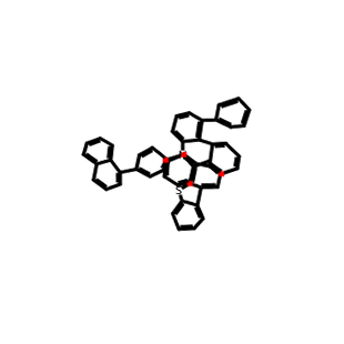 c1ccc(-c2ccccc2-c2c(-c3ccccc3)cccc2N(c2ccc(-c3cccc4ccccc34)cc2)c2cccc3c2sc2ccccc23)cc1